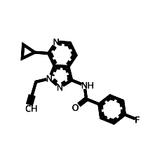 C#CCn1nc(NC(=O)c2ccc(F)cc2)c2ccnc(C3CC3)c21